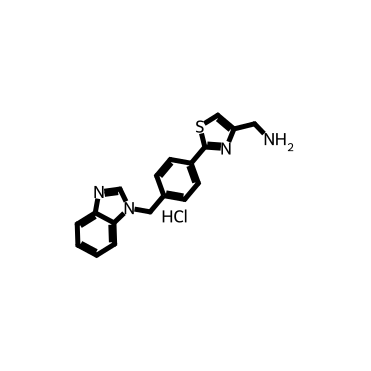 Cl.NCc1csc(-c2ccc(Cn3cnc4ccccc43)cc2)n1